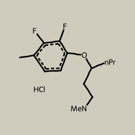 CCCC(CCNC)Oc1ccc(C)c(F)c1F.Cl